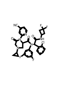 N#Cc1ccnc(N2C(=O)CN(C3CC3)CC2C(=O)N(c2cc(F)cc(F)c2)[C@H](C(=O)NC2CC(F)(F)C2)c2ccccc2Cl)c1